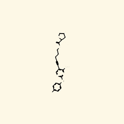 CNc1nc(Nc2ccc(F)cc2)ncc1C#CCCCNC(=O)[C@]1(C)C[C@@H](F)CN1